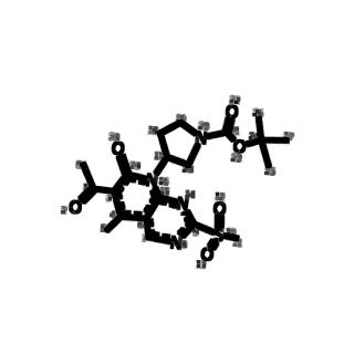 CC(=O)c1c(C)c2cnc(S(C)(=O)=O)nc2n(C2CCN(C(=O)OC(C)(C)C)C2)c1=O